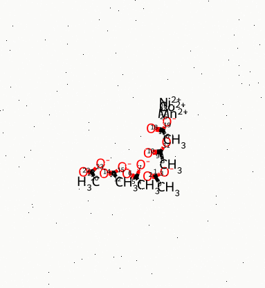 CC(=O)[O-].CC(=O)[O-].CC(=O)[O-].CC(=O)[O-].CC(=O)[O-].CC(=O)[O-].[Co+2].[Mn+2].[Ni+2]